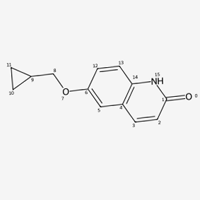 O=c1ccc2cc(OCC3CC3)ccc2[nH]1